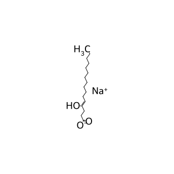 CCCCCCCCCCCC=C(O)CCC(=O)[O-].[Na+]